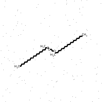 CCCCCCCCCCCCCCCCCCC(C)OCCOOC(C)CCCCCCCCCCCCCCCCCC